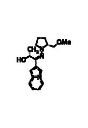 COC[C@@H]1CCCN1/N=C(/c1cc2ccccn2c1)[C@@H](C)O